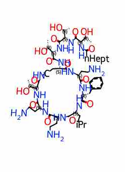 CCCCCCCC(=O)N[C@H](C(=O)N[C@H](C(=O)N[C@H](C(=O)N[C@H]1CCNC(=O)[C@H]([C@@H](C)O)NC(=O)[C@H](CCN)NC(=O)[C@H](CCN)NC(=O)[C@H](CC(C)C)NC(=O)[C@@H](Cc2ccccc2)NC(=O)[C@H](CCN)NC1=O)[C@@H](C)O)[C@@H](C)O)[C@@H](C)O